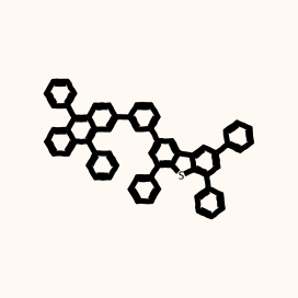 c1ccc(-c2cc(-c3ccccc3)c3sc4c(-c5ccccc5)cc(-c5cccc(-c6ccc7c(-c8ccccc8)c8ccccc8c(-c8ccccc8)c7c6)c5)cc4c3c2)cc1